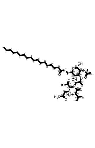 CCCCCCCCCCCCCCCCCC(=O)OC[C@H]1O[C@H](O)[C@H](NC(C)=O)[C@@H](OC(C)CN(C(=O)[C@@H](N)C(C)C)[C@H](CCC(N)=O)C(=O)O)[C@@H]1O